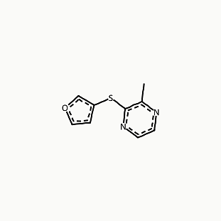 Cc1nccnc1Sc1ccoc1